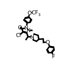 CC(c1c(Cl)c(=O)n(-c2ccc(OC(F)(F)F)cc2)n1C)N1CCC(CCOc2ccc(F)cc2)CC1